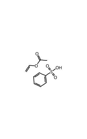 C=COC(C)=O.O=S(=O)(O)c1ccccc1